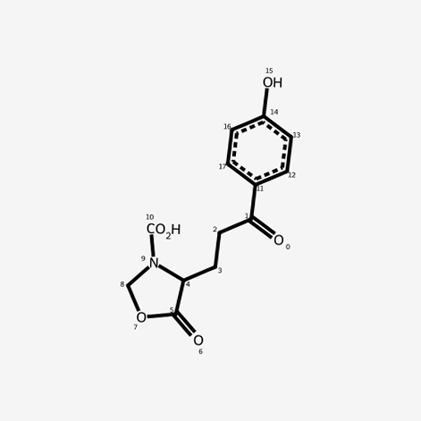 O=C(CCC1C(=O)OCN1C(=O)O)c1ccc(O)cc1